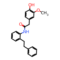 COc1cc(CC(=O)Nc2ccccc2CCc2ccccc2)ccc1O